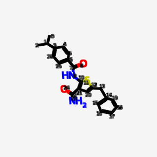 CC(C)c1ccc(C(=O)Nc2sc(Cc3ccccc3)cc2C(N)=O)cc1